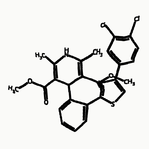 COC(=O)C1=C(C)NC(C)=C(C(=O)OC)C1c1ccccc1-c1nc(-c2ccc(Cl)c(Cl)c2)cs1